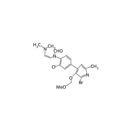 COCOc1c(-c2ccc(N(C=O)/C=C\N(C)C)c(Cl)c2)cc(C)nc1Br